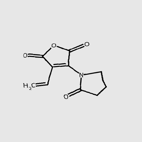 C=CC1=C(N2CCCC2=O)C(=O)OC1=O